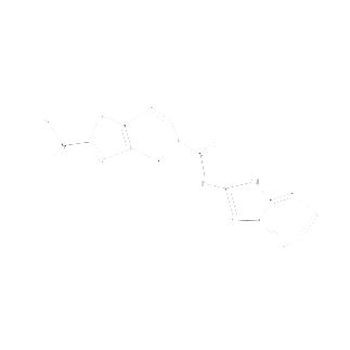 NC(=O)c1nc2cc(C(=O)Nc3nc4ccccc4[nH]3)ccc2[nH]1